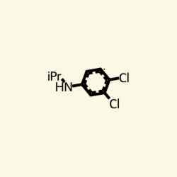 CC(C)Nc1c[c]c(Cl)c(Cl)c1